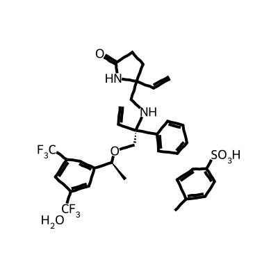 C=CC1(CN[C@@](C=C)(CO[C@@H](C)c2cc(C(F)(F)F)cc(C(F)(F)F)c2)c2ccccc2)CCC(=O)N1.Cc1ccc(S(=O)(=O)O)cc1.O